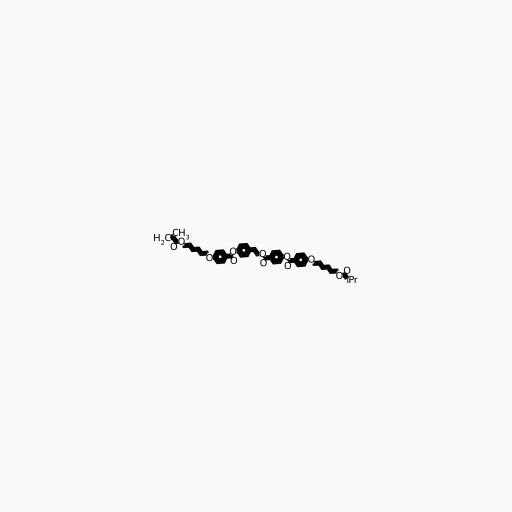 C=C(C)C(=O)OCCCCCCOc1ccc(C(=O)Oc2ccc(CCOC(=O)c3ccc(OC(=O)c4ccc(OCCCCCCOC(=O)C(C)C)cc4)cc3)cc2)cc1